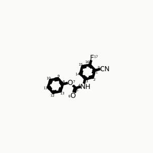 N#Cc1cc(NC(=O)Oc2ccccc2)ccc1F